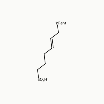 CCCCCCC=CCCCS(=O)(=O)O